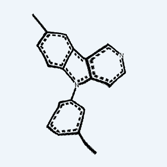 Cc1cccc(-n2c3ccncc3c3cc(C)ccc32)c1